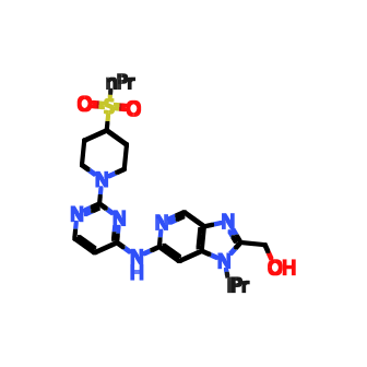 CCCS(=O)(=O)C1CCN(c2nccc(Nc3cc4c(cn3)nc(CO)n4C(C)C)n2)CC1